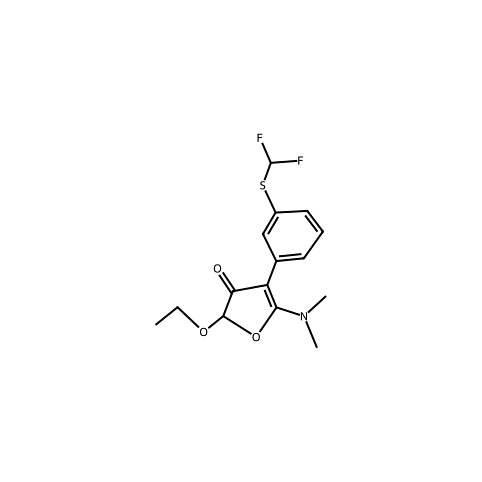 CCOC1OC(N(C)C)=C(c2cccc(SC(F)F)c2)C1=O